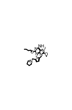 CCCCOc1nc(N)c2nc(OC)n(Cc3ccc(CN4CCCC4)s3)c2n1